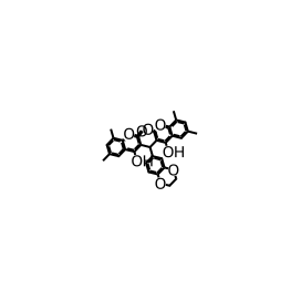 Cc1cc(C)c2oc(=O)c(C(c3ccc4c(c3)OCCO4)c3c(O)c4cc(C)cc(C)c4oc3=O)c(O)c2c1